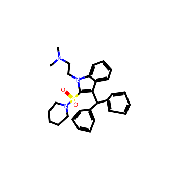 CN(C)CCn1c(S(=O)(=O)N2CCCCC2)c(C(c2ccccc2)c2ccccc2)c2ccccc21